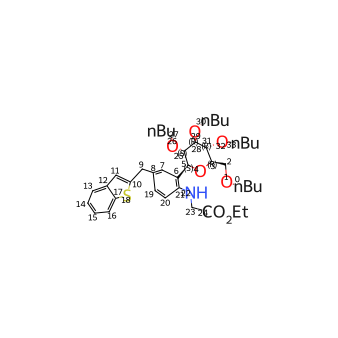 CCCCOC[C@H]1O[C@@H](c2cc(Cc3cc4ccccc4s3)ccc2NCC(=O)OCC)[C@H](OCCCC)[C@@H](OCCCC)[C@@H]1OCCCC